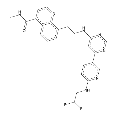 CNC(=O)c1ccnc2c(CCNc3cc(-c4ccc(NCC(F)F)nc4)ncn3)cccc12